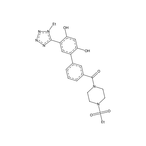 CCn1nnnc1-c1cc(-c2cccc(C(=O)N3CCN(S(=O)(=O)CC)CC3)c2)c(O)cc1O